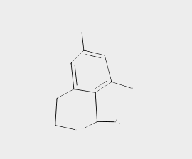 N[C]1OCCc2cc(F)cc(F)c21